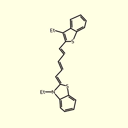 CCc1c(/C=C/C=C/C=C2\Sc3ccccc3N2CC)sc2ccccc12